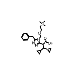 C[Si](C)(C)CCOCn1c(Cc2ccccc2)nnc1C(C(=O)O)C(C1CC1)C1CC1